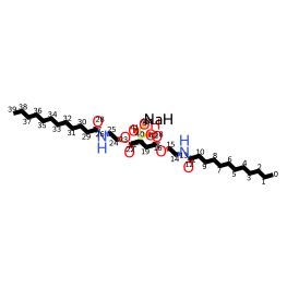 CCCCCCCCCCCC(=O)NCCOC(=O)CC(C(=O)OCCNC(=O)CCCCCCCCCCC)S(=O)(=O)O.[NaH]